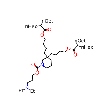 CCCCCCCCC(CCCCCC)C(=O)OCCCCC1(CCCCOC(=O)C(CCCCCC)CCCCCCCC)CCCN(C(=O)OCCCN(CC)CC)C1